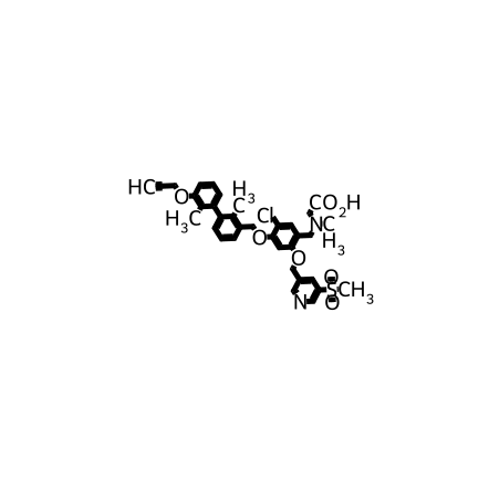 C#CCOc1cccc(-c2cccc(COc3cc(OCc4cncc(S(C)(=O)=O)c4)c(CN(C)CC(=O)O)cc3Cl)c2C)c1C